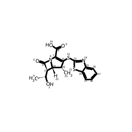 C[C@@H](O)[C@H]1C(=O)N2C(C(=O)O)=C(Sc3nc4ccccc4s3)[C@H](C)[C@H]12